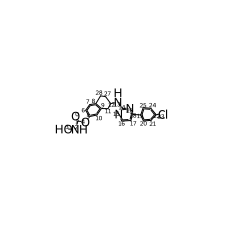 O=C(NO)Oc1ccc2c(c1)CC(Nc1nccc(-c3ccc(Cl)cc3)n1)CC2